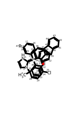 CC1(n2cc[nH]c2=P(c2ccccc2)(c2ccccc2)c2cccc(Cl)c2Cl)C=CC=C(C=c2cccc3c2=Cc2ccccc2-3)C1.[Ru]